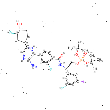 CC(C)(C)OP(=O)(OC[C@H](NC(=O)c1ccc(-c2nc([C@@H]3CC[C@@H](O)[C@H](F)C3)cnc2N)cc1F)c1cc(F)cc(I)c1)OC(C)(C)C